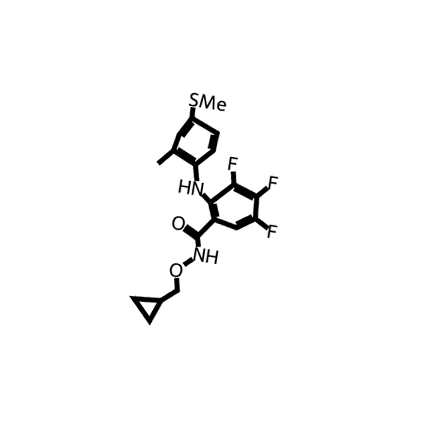 CSc1ccc(Nc2c(C(=O)NOCC3CC3)cc(F)c(F)c2F)c(C)c1